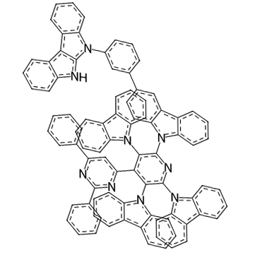 c1ccc(-c2cc(-c3c(-n4c5ccccc5c5ccccc54)c(-n4c5ccccc5c5ccccc54)nc(-n4c5ccccc5c5cc(-c6cccc(-n7c8ccccc8c8c9ccccc9[nH]c87)c6)ccc54)c3-n3c4ccccc4c4ccccc43)nc(-c3ccccc3)n2)cc1